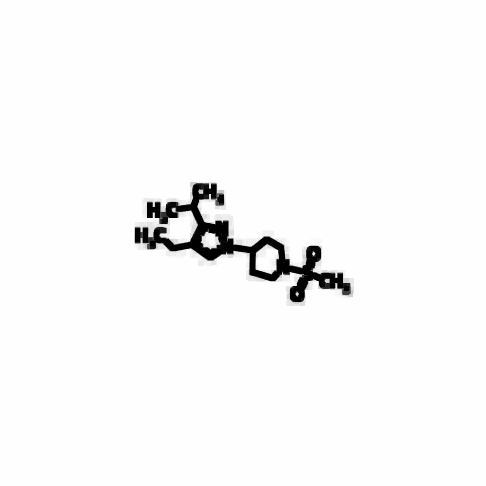 CCc1cn(C2CCN(S(C)(=O)=O)CC2)nc1C(C)C